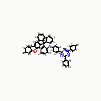 c1ccc(-c2nc(-c3ccccc3)nc(-c3ccc(N4c5ccccc5C(c5ccccc5)(c5ccc6c(c5)oc5ccccc56)c5ccccc54)cc3)n2)cc1